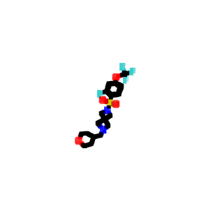 O=S(=O)(c1ccc(OC(F)(F)F)cc1F)N1CC2(CN(CC3CCOCC3)C2)C1